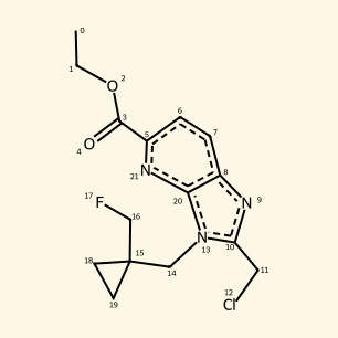 CCOC(=O)c1ccc2nc(CCl)n(CC3(CF)CC3)c2n1